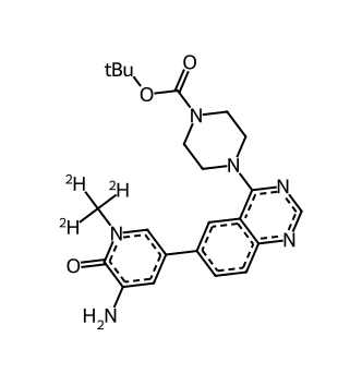 [2H]C([2H])([2H])n1cc(-c2ccc3ncnc(N4CCN(C(=O)OC(C)(C)C)CC4)c3c2)cc(N)c1=O